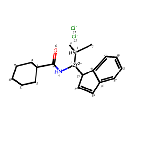 C[SiH](C)[Zr+2]([NH]C(=O)C1CCCCC1)[CH]1C=Cc2ccccc21.[Cl-].[Cl-]